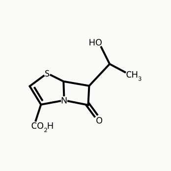 CC(O)C1C(=O)N2C(C(=O)O)=CSC12